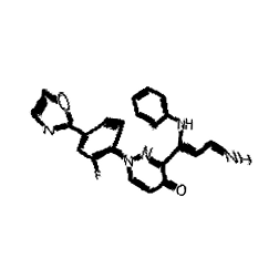 N=C/C=C(\Nc1ccccc1)c1nn(-c2ccc(-c3ncco3)cc2F)ccc1=O